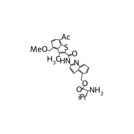 COCc1ccc(C(C)=O)c2sc(C(=O)Nc3ccc4c(COC(=O)[C@@H](N)C(C)C)cccc4n3)c(C)c12